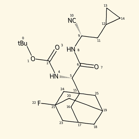 CC(C)(C)OC(=O)N[C@H](C(=O)N[C@H](C#N)CC1CC1)C12CC3CC(CC(F)(C3)C1)C2